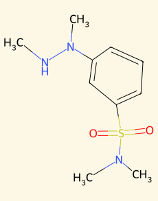 CNN(C)c1cccc(S(=O)(=O)N(C)C)c1